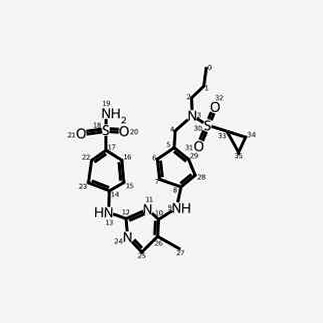 CCCN(Cc1ccc(Nc2nc(Nc3ccc(S(N)(=O)=O)cc3)ncc2C)cc1)S(=O)(=O)C1CC1